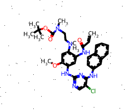 C=CC(=O)Nc1cc(Nc2ncc(Cl)c(Nc3ccc4ccccc4c3)n2)c(OC)cc1N(C)CCN(C)C(=O)OC(C)(C)C